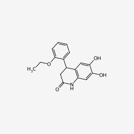 CCOc1ccccc1C1CC(=O)Nc2cc(O)c(O)cc21